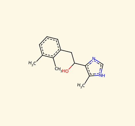 Cc1cccc(CC(O)c2nc[nH]c2C)c1C